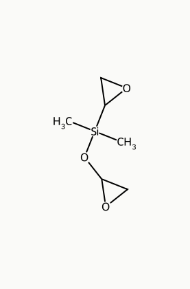 C[Si](C)(OC1CO1)C1CO1